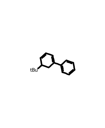 CC(C)(C)[C]1C=CC=C(c2ccccc2)C1